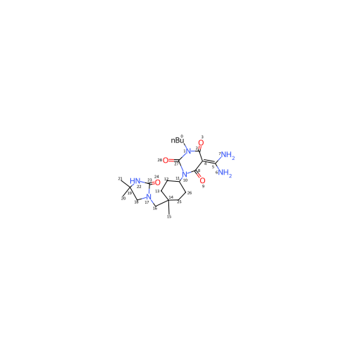 CCCCN1C(=O)C(=C(N)N)C(=O)N(C2CCC(C)(CN3CC(C)(C)NC3=O)CC2)C1=O